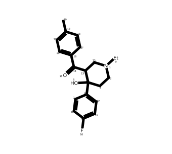 CCN1CCC(O)(c2ccc(F)cc2)C(C(=O)c2ccc(C)cc2)C1